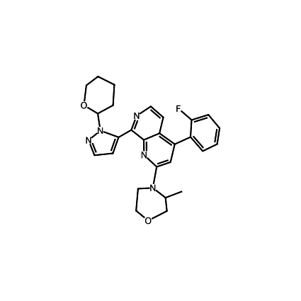 CC1COCCN1c1cc(-c2ccccc2F)c2ccnc(-c3ccnn3C3CCCCO3)c2n1